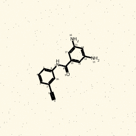 C#Cc1cccc(NC(=O)c2cc(N)cc(N)c2)c1